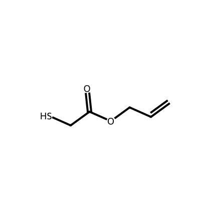 C=CCOC(=O)CS